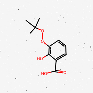 CC(C)(C)OOc1cccc(C(=O)O)c1O